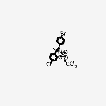 C[C@@]1(c2ccc(Cl)cc2)[C@@H](c2ccc(Br)cc2)N1S(=O)(=O)OCC(Cl)(Cl)Cl